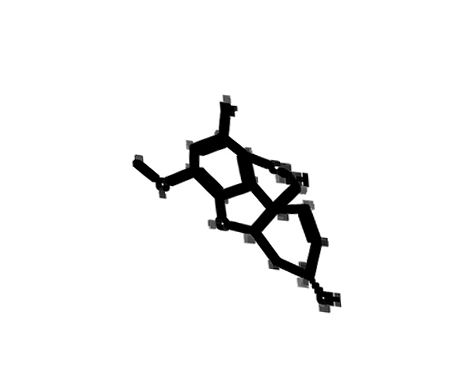 COc1cc(Br)c2c3c1OC1C[C@@H](O)C=CC31CNC2